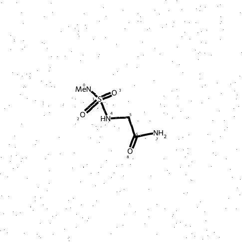 CNS(=O)(=O)NCC(N)=O